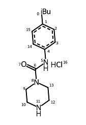 CCC(C)c1ccc(NC(=O)N2CCNCC2)cc1.Cl